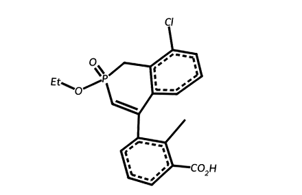 CCOP1(=O)C=C(c2cccc(C(=O)O)c2C)c2cccc(Cl)c2C1